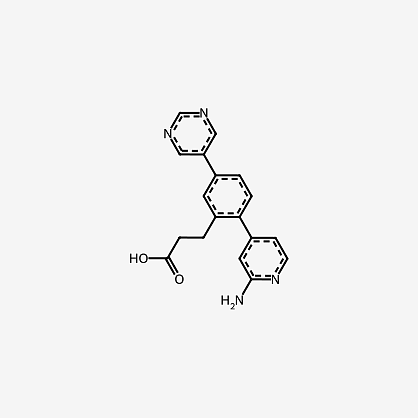 Nc1cc(-c2ccc(-c3cncnc3)cc2CCC(=O)O)ccn1